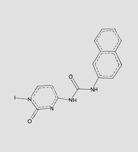 O=C(Nc1ccc2ccccc2c1)Nc1ccn(I)c(=O)n1